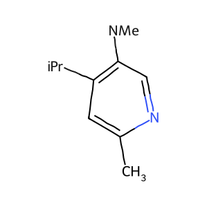 CNc1cnc(C)cc1C(C)C